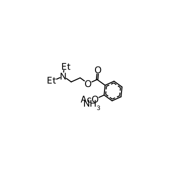 CCN(CC)CCOC(=O)c1ccccc1OC(C)=O.N